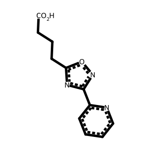 O=C(O)CCCc1nc(-c2ccccn2)no1